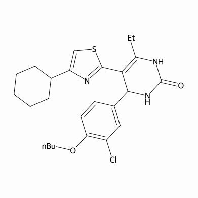 CCCCOc1ccc(C2NC(=O)NC(CC)=C2c2nc(C3CCCCC3)cs2)cc1Cl